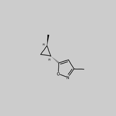 Cc1cc([C@@H]2C[C@H]2C)on1